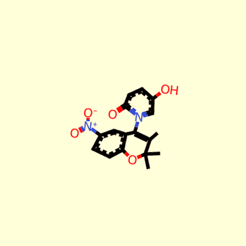 CC1=C(n2cc(O)ccc2=O)c2cc([N+](=O)[O-])ccc2OC1(C)C